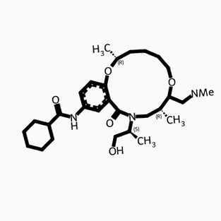 CNCC1OCCCC[C@@H](C)Oc2ccc(NC(=O)C3CCCCC3)cc2C(=O)N([C@@H](C)CO)C[C@H]1C